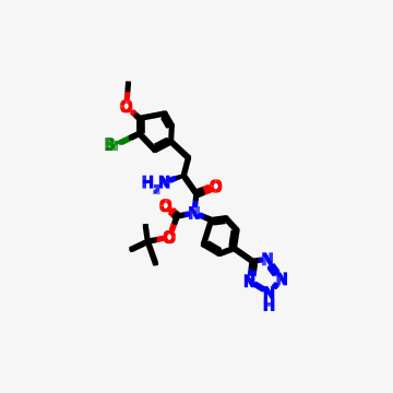 COc1ccc(C[C@H](N)C(=O)N(C(=O)OC(C)(C)C)c2ccc(-c3nn[nH]n3)cc2)cc1Br